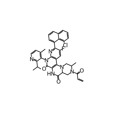 C=CC(=O)N1CC2C(=O)Nc3c(c4cc(F)c(-c5cccc6cccc(Cl)c56)nc4n(-c4c(C)ccnc4C(C)C)c3=O)N2CC1C